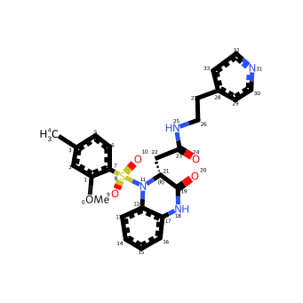 COc1cc(C)ccc1S(=O)(=O)N1c2ccccc2NC(=O)[C@H]1CC(=O)NCCc1ccncc1